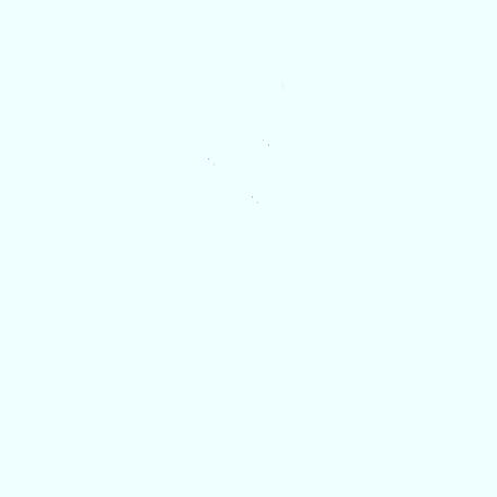 Cc1cc(C)nc(N2CCC(COc3ccccc3C(F)(F)F)CC2)n1